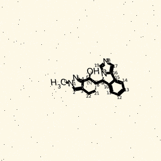 Cn1cc2c(n1)[C@@H](O)[C@H]([C@H]1c3ccccc3-c3cncn31)CC2